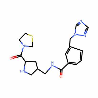 O=C(NCC1CNC(C(=O)N2CCSC2)C1)c1cccc(Cn2cncn2)c1